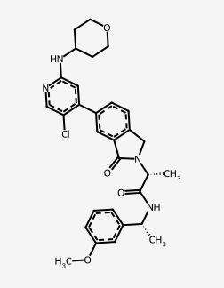 COc1cccc([C@@H](C)NC(=O)[C@@H](C)N2Cc3ccc(-c4cc(NC5CCOCC5)ncc4Cl)cc3C2=O)c1